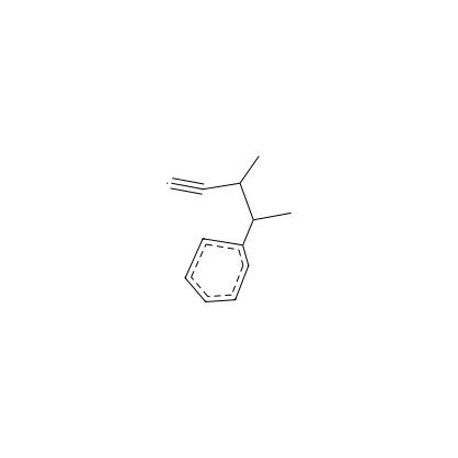 [C]#CC(C)C(C)c1ccccc1